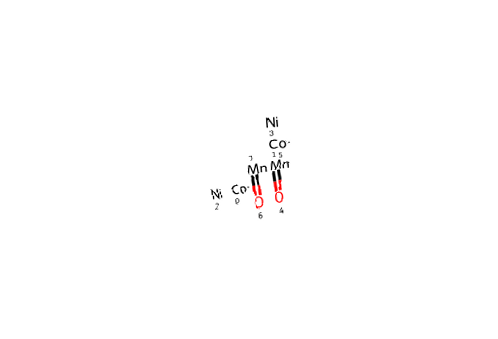 [Co].[Co].[Ni].[Ni].[O]=[Mn].[O]=[Mn]